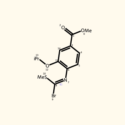 COC(=O)c1ccc(/N=C(/Br)SC)c(OC(C)C)c1